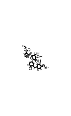 CCOC(=O)c1ccnn1C[C@H]1O[C@@H](c2ccc(Cl)c(Cc3ccc(OCC)cc3)c2)[C@H](O)[C@H](O)[C@H]1O